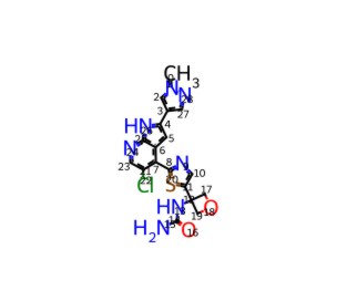 Cn1cc(-c2cc3c(-c4ncc(C5(NC(N)=O)COC5)s4)c(Cl)cnc3[nH]2)cn1